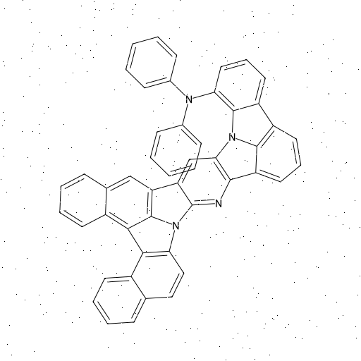 c1ccc(N(c2ccccc2)c2cccc3c4cccc5c6nc7c(cc6n(c23)c45)c2cc3ccccc3c3c4c5ccccc5ccc4n7c23)cc1